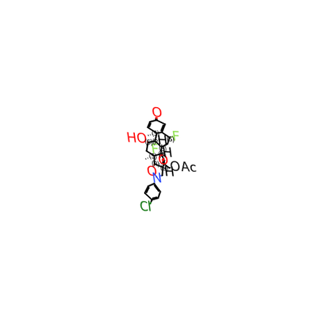 CC(=O)OCC(=O)[C@@]12ON(c3ccc(Cl)cc3)C[C@@H]1C[C@H]1[C@@H]3C[C@H](F)C4=CC(=O)C=C[C@]4(C)[C@@]3(F)[C@@H](O)C[C@@]12C